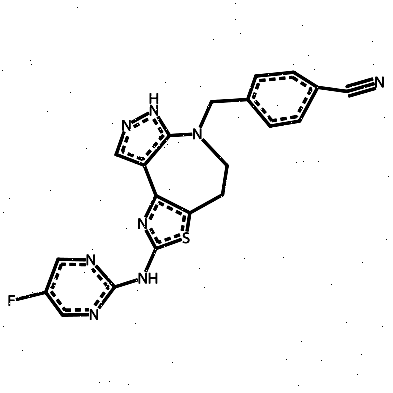 N#Cc1ccc(CN2CCc3sc(Nc4ncc(F)cn4)nc3-c3cn[nH]c32)cc1